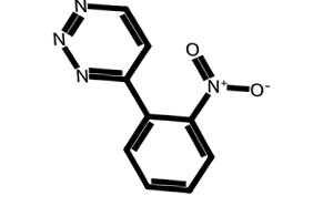 O=[N+]([O-])c1ccccc1-c1ccnnn1